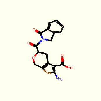 Nc1sc2c(c1C(=O)O)CC(C(=O)N1Cc3ccccc3C1=O)OC2